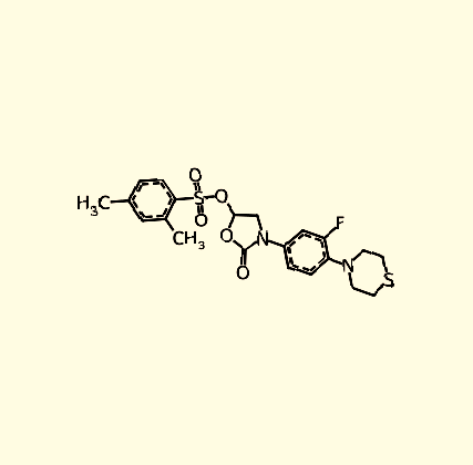 Cc1ccc(S(=O)(=O)OC2CN(c3ccc(N4CCSCC4)c(F)c3)C(=O)O2)c(C)c1